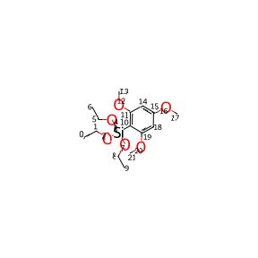 CCO[Si](OCC)(OCC)c1c(OC)cc(OC)cc1OC